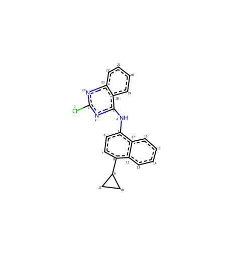 Clc1nc(Nc2ccc(C3CC3)c3ccccc23)c2ccccc2n1